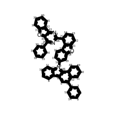 c1ccc(-c2cc3c4ccccc4n(-c4ccc5c(c4)oc4cccc(-c6nc(-c7ccccc7)c7oc8ccccc8c7n6)c45)c3c3ccccc23)cc1